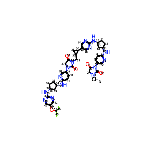 CN1CC(=O)N(c2ccc(N[C@H]3CC[C@H](Nc4ncc(C5CC5CN5C(=O)CN(c6ccc(N[C@H]7CC[C@H](Nc8ncc(OC(F)F)cn8)C7)nc6)C5=O)cn4)C3)nc2)C1=O